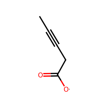 CC#CCC([O])=O